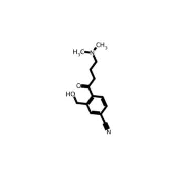 CN(C)CCCC(=O)c1ccc(C#N)cc1CO